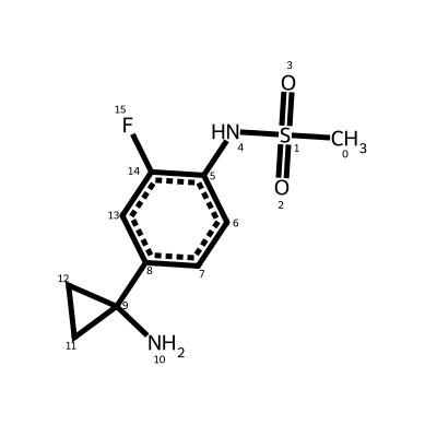 CS(=O)(=O)Nc1ccc(C2(N)CC2)cc1F